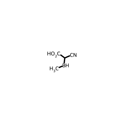 CBC(C#N)C(=O)O